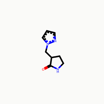 O=C1NCCC1Cn1cccn1